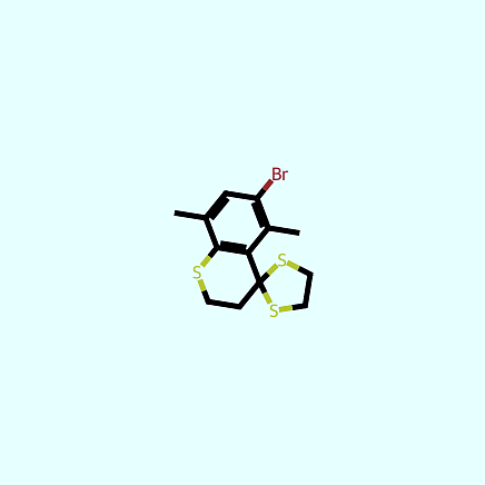 Cc1cc(Br)c(C)c2c1SCCC21SCCS1